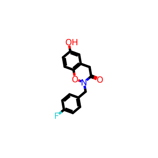 O=C1Cc2cc(O)ccc2ON1Cc1ccc(F)cc1